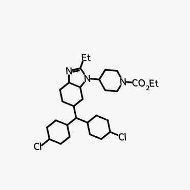 CCOC(=O)N1CCC(N2C(CC)=NC3CCC(C(C4CCC(Cl)CC4)C4CCC(Cl)CC4)CC32)CC1